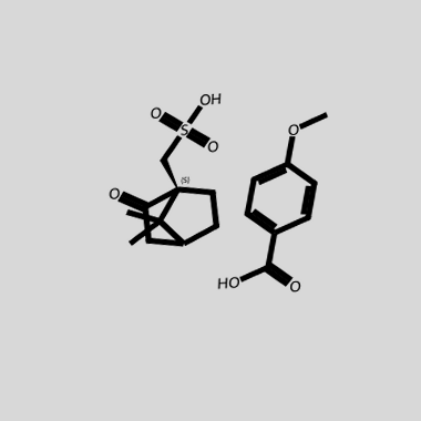 CC1(C)C2CC[C@@]1(CS(=O)(=O)O)C(=O)C2.COc1ccc(C(=O)O)cc1